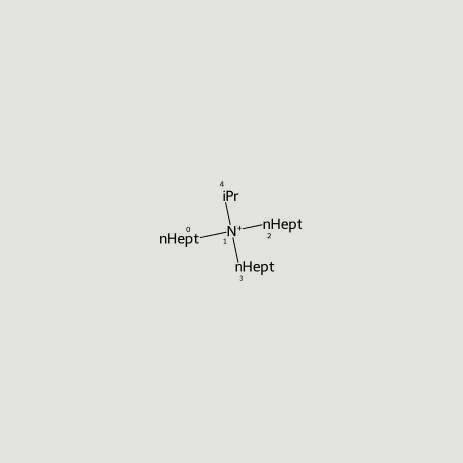 CCCCCCC[N+](CCCCCCC)(CCCCCCC)C(C)C